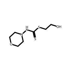 OCCSC(=S)NN1CCOCC1